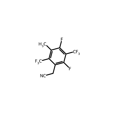 Cc1c(F)c(C(F)(F)F)c(F)c(CC#N)c1C(F)(F)F